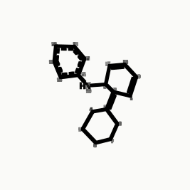 C1=CC(=C2CCCCC2)C(Nc2ccccc2)C=C1